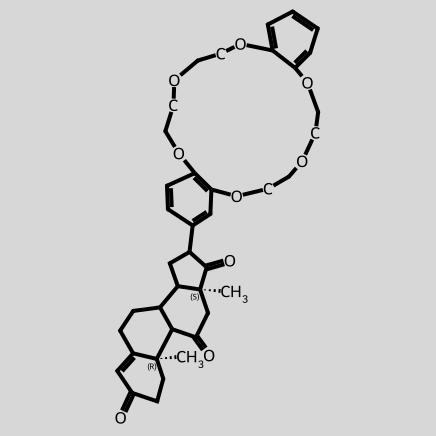 C[C@]12CCC(=O)C=C1CCC1C2C(=O)C[C@]2(C)C(=O)C(c3ccc4c(c3)OCCOCCOc3ccccc3OCCOCCO4)CC12